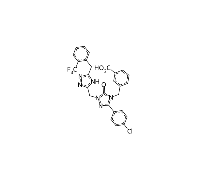 O=C(O)c1cccc(Cn2c(-c3ccc(Cl)cc3)nn(Cc3nnc(Cc4ccccc4C(F)(F)F)[nH]3)c2=O)c1